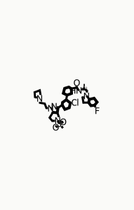 C[C@@H](CN1CCc2cc(F)ccc21)NC(=O)c1cccc(-c2cc(-c3nn(CCCN4CCCC4)c4c3CN(S(C)(=O)=O)CC4)ccc2Cl)c1